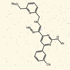 COCc1cccc(CN/C=C(\N=N)c2cc(-c3cccc(C#N)c3)nc(NC(C)C)n2)n1